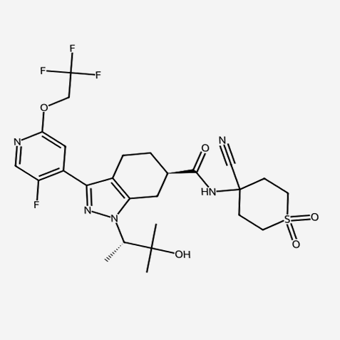 C[C@H](n1nc(-c2cc(OCC(F)(F)F)ncc2F)c2c1C[C@H](C(=O)NC1(C#N)CCS(=O)(=O)CC1)CC2)C(C)(C)O